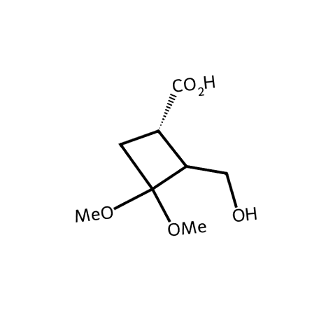 COC1(OC)C[C@H](C(=O)O)C1CO